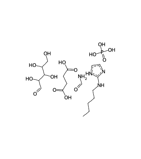 CCCCCNc1ncc[nH]1.NC=O.O=C(O)CCC(=O)O.O=CC(O)C(O)C(O)CO.O=P(O)(O)O